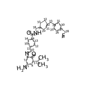 CC(C)c1cc(N)cc2nc(-c3ccc(C(=O)NCC4CC=C(Cc5ccc(CF)cc5)CC4)cc3)oc12